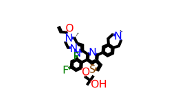 C=CC(=O)N1CCn2nc(-c3nc(-c4ccc5c(c4)CCN(C)CC5)c4ccsc4c3-c3c(F)cc(F)cc3OCC(C)(C)O)cc2[C@H]1C